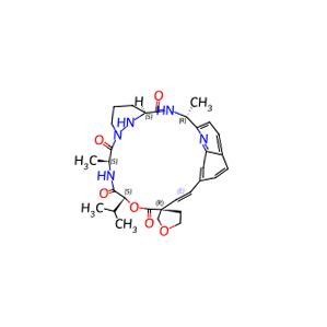 CC(C)[C@@H]1OC(=O)[C@@]2(/C=C/c3ccc4ccc(nc4c3)[C@@H](C)NC(=O)[C@@H]3CCCN(N3)C(=O)[C@H](C)NC1=O)CCOC2